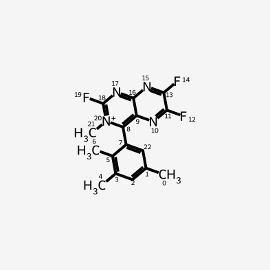 Cc1cc(C)c(C)c(-c2c3nc(F)c(F)nc3nc(F)[n+]2C)c1